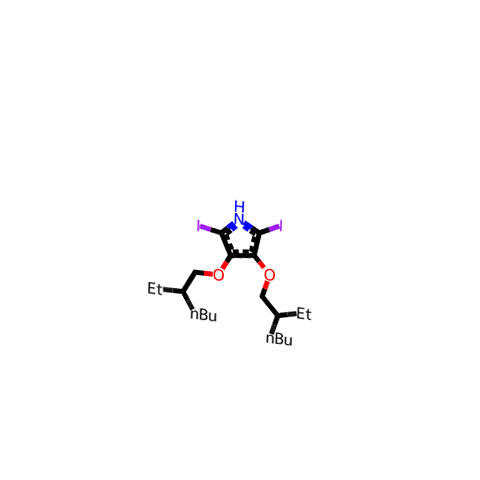 CCCCC(CC)COc1c(I)[nH]c(I)c1OCC(CC)CCCC